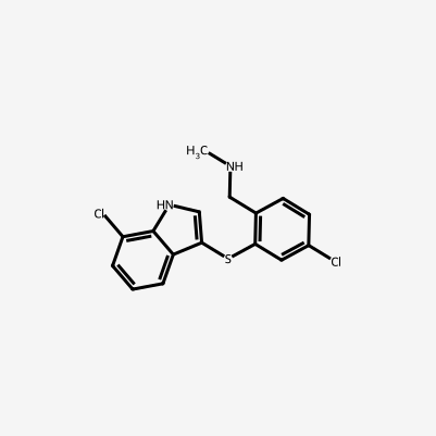 CNCc1ccc(Cl)cc1Sc1c[nH]c2c(Cl)cccc12